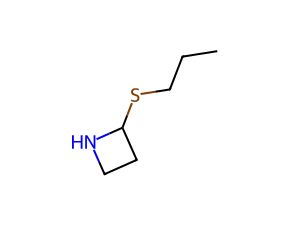 CCCSC1CCN1